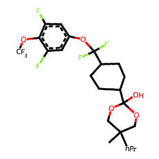 CCCC1(C)COC(O)(C2CCC(C(F)(F)Oc3cc(F)c(OC(F)(F)F)c(F)c3)CC2)OC1